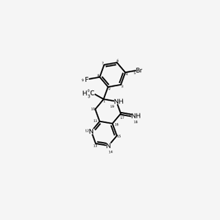 CC1(c2cc(Br)ccc2F)Cc2ncncc2C(=N)N1